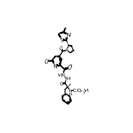 Cc1csc([C@H]2CCCN2C(=O)c2cc(Cl)nc(C(=O)NNC(=O)[C@@](C)(Cc3ccccc3)NC(=O)O)c2)n1